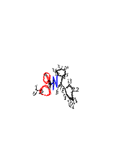 CCOC(=O)n1cc(-c2ccccc2)c2ccccc21